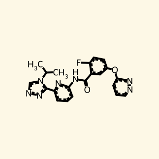 CC(C)n1cnnc1-c1cccc(NC(=O)c2cc(Oc3cccnn3)ccc2F)n1